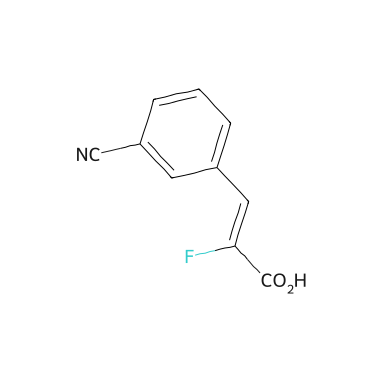 N#Cc1cccc(C=C(F)C(=O)O)c1